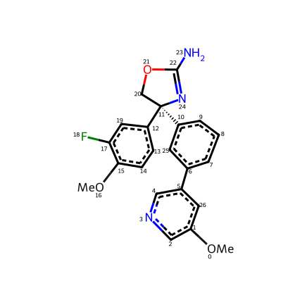 COc1cncc(-c2cccc([C@]3(c4ccc(OC)c(F)c4)COC(N)=N3)c2)c1